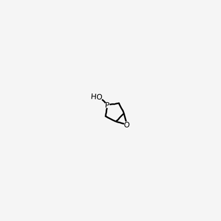 OP1CC2OC2C1